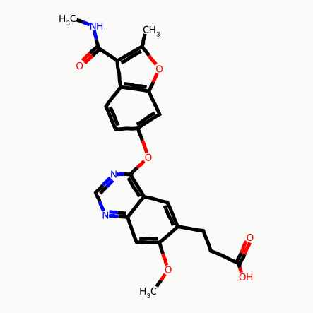 CNC(=O)c1c(C)oc2cc(Oc3ncnc4cc(OC)c(CCC(=O)O)cc34)ccc12